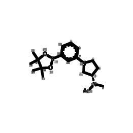 CC(=O)N(C)[C@H]1CCN(c2cccc(B3OC(C)(C)C(C)(C)O3)c2)C1